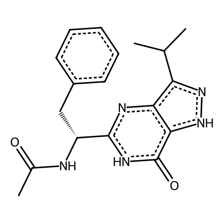 CC(=O)N[C@H](Cc1ccccc1)c1nc2c(C(C)C)n[nH]c2c(=O)[nH]1